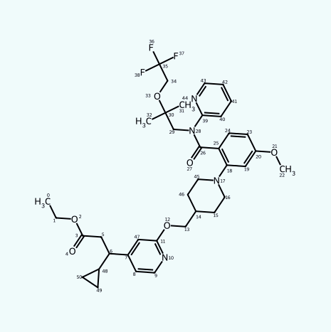 CCOC(=O)CC(c1ccnc(OCC2CCN(c3cc(OC)ccc3C(=O)N(CC(C)(C)OCC(F)(F)F)c3ccccn3)CC2)c1)C1CC1